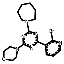 Brc1ncccc1-c1nc(N2CCCCCC2)nc(N2CCOCC2)n1